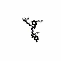 CCC[N+]1=C(/C=C/C=C2/N(CCCCCC(=O)O)c3ccc(S(=O)(=O)O)cc3C2(C)C)C(C)(C)c2cc(C)ccc21